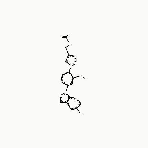 CC(C)Nc1cc(-n2ncc3cc(C#N)cnc32)ncc1-n1cc(CNC(N)=O)nn1